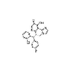 O=c1cnn2c(c1O)-c1nccn1C[C@@H]2[C@@H](c1ccc(F)cc1)c1ccccc1Cl